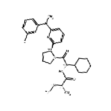 CN[C@@H](C)C(=O)N[C@H](C(=O)N1CCC[C@H]1c1cccc(N(C)c2cccc(Cl)c2)n1)C1CCCCC1